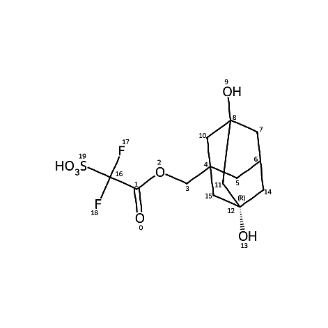 O=C(OCC12CC3CC(O)(C1)C[C@@](O)(C3)C2)C(F)(F)S(=O)(=O)O